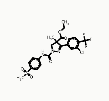 CCOC(=O)C1(C)CN(C(=O)Nc2ccc(S(C)(=O)=O)cc2)N=C1c1ccc(C(F)(F)F)c(Cl)c1